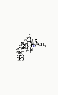 CN(C)/C=N/c1nccc2c1n(-c1ccccc1)c(=O)n2[C@@H]1CCCN(C(=O)OC(C)(C)C)C1